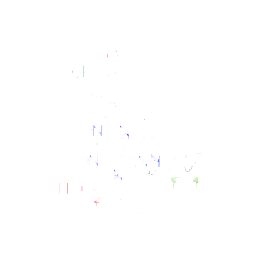 COc1ccc(-c2nc3nc(C(=O)O)nc(N[C@H](C)C4CC4)c3n2Cc2ccc(C(F)(F)F)cc2)cc1Cl